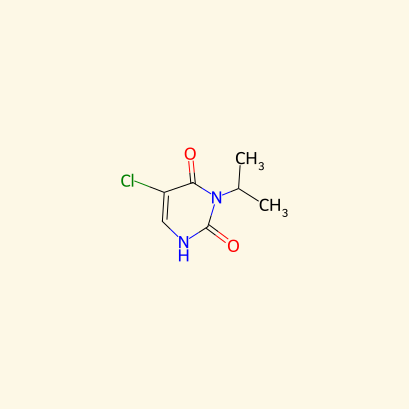 CC(C)n1c(=O)[nH]cc(Cl)c1=O